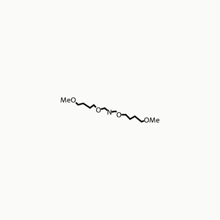 COCCCCOC[N]COCCCCOC